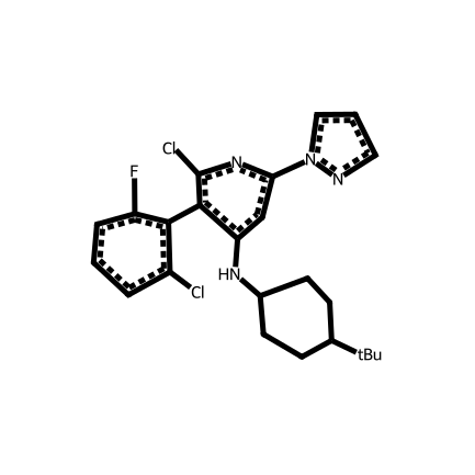 CC(C)(C)C1CCC(Nc2cc(-n3cccn3)nc(Cl)c2-c2c(F)cccc2Cl)CC1